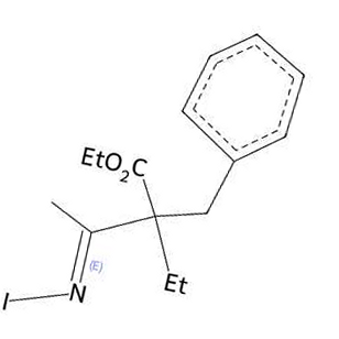 CCOC(=O)C(CC)(Cc1ccccc1)/C(C)=N/I